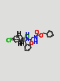 O=C(CNC(=O)OCc1ccccc1)NC(c1ccccc1)[C@H]1[C@H]2C[C@@H]3C[C@](Cl)(C2)C[C@@]1(Cl)C3